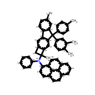 Cc1ccc(C2(c3ccc(C)c(C)c3)c3cc(C(C)C)ccc3-c3cc4c(cc32)C(C)(N(c2ccccc2)c2ccc3ccc5cccc6ccc2c3c56)C4)cc1